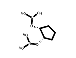 ON(O)O[C@H]1CCC[C@H]1ON(O)O